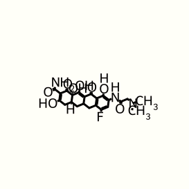 CN(C)CC(=O)Nc1cc(F)c2c(c1O)C(=O)C1=C(O)[C@]3(O)C(=O)C(C(N)=O)=C(O)C[C@@H]3CC1C2